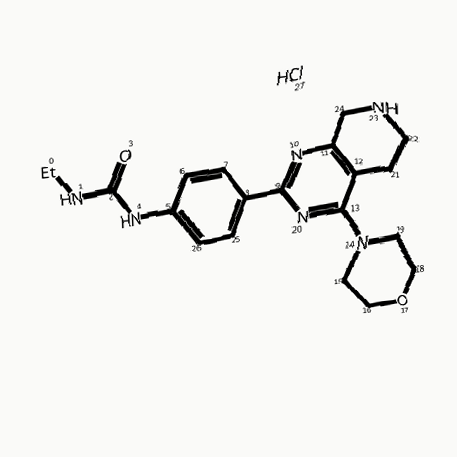 CCNC(=O)Nc1ccc(-c2nc3c(c(N4CCOCC4)n2)CCNC3)cc1.Cl